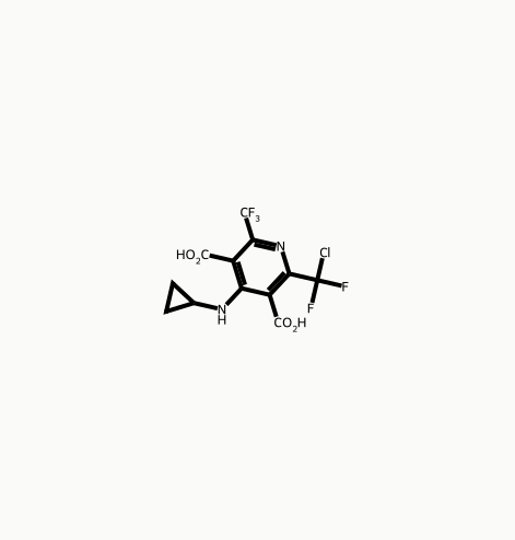 O=C(O)c1c(C(F)(F)F)nc(C(F)(F)Cl)c(C(=O)O)c1NC1CC1